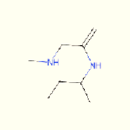 C=C(CNC)NC(C)CC